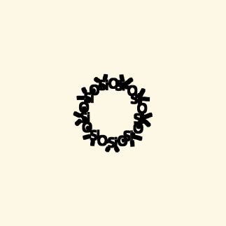 C[Si]1(C)O[Si](C)(C)O[Si](C)(C)O[Si](C)(C)O[Si](C)(C)O[Si](C)(C)O[Si](C)(C)O[Si](C)(C)O[Si](C)(C)O1